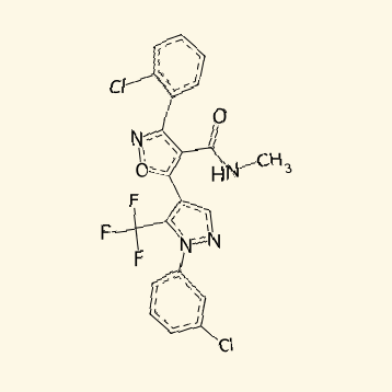 CNC(=O)c1c(-c2ccccc2Cl)noc1-c1cnn(-c2cccc(Cl)c2)c1C(F)(F)F